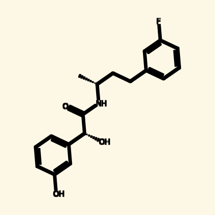 C[C@H](CCc1cccc(F)c1)NC(=O)[C@H](O)c1cccc(O)c1